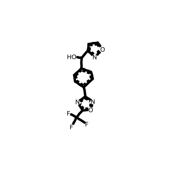 OC(c1ccc(-c2noc(C(F)(F)F)n2)cc1)c1ccon1